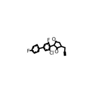 C#CCC1CC(=O)C(c2c(F)cc(-c3ccc(F)cc3)cc2Cl)C1=O